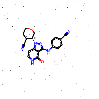 N#Cc1ccc(Nc2nn([C@H]3COCCC3C#N)c3cc[nH]c(=O)c23)cc1